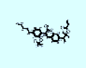 C=CC(=O)OC(C)(C)C(C)c1ccc2cc(-c3ccc(CCCCC)cc3OC(F)(F)F)c(=O)oc2c1